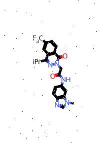 CC(C)c1nn(CC(=O)Nc2ccc3ncn(C)c3c2)c(=O)c2ccc(C(F)(F)F)cc12